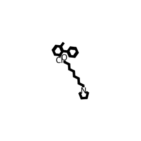 CC1=C(c2ccccc2)C(Cl)(OCCCCCCCCN2CCCC2)CC=C1